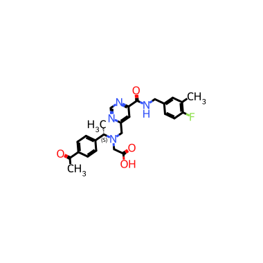 CC(=O)c1ccc([C@H](C)N(CC(=O)O)Cc2cc(C(=O)NCc3ccc(F)c(C)c3)ncn2)cc1